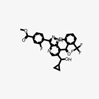 COC(=O)c1ccc(-c2n[nH]c3c(C(=O)c4c(Cl)cccc4C(F)(F)F)c(C(O)C4CC4)cnc23)c(F)c1